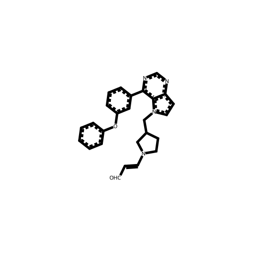 O=CC=CN1CCC(Cn2ccc3ncnc(-c4cccc(Oc5ccccc5)c4)c32)C1